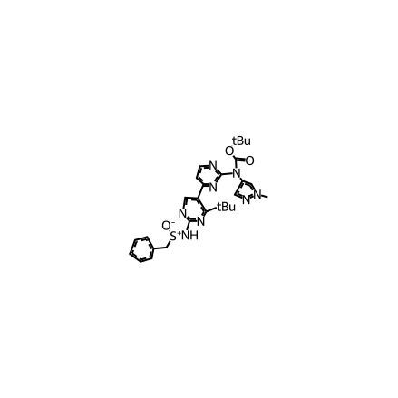 Cn1cc(N(C(=O)OC(C)(C)C)c2nccc(-c3cnc(N[S+]([O-])Cc4ccccc4)nc3C(C)(C)C)n2)cn1